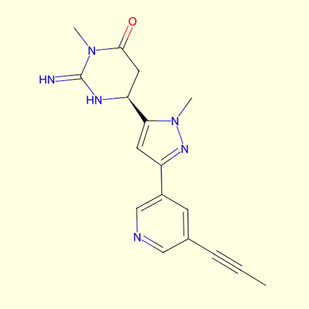 CC#Cc1cncc(-c2cc([C@@H]3CC(=O)N(C)C(=N)N3)n(C)n2)c1